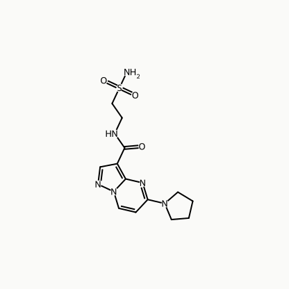 NS(=O)(=O)CCNC(=O)c1cnn2ccc(N3CCCC3)nc12